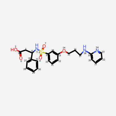 O=C(O)CC(NS(=O)(=O)c1cccc(OCCCNc2ccccn2)c1)c1ccccc1